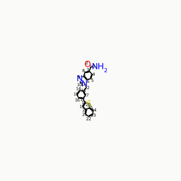 NC(=O)c1ccc2c(c1)ncn2Cc1cccc(-c2cc3ccccc3s2)c1